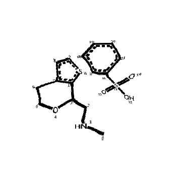 CNCC1OCCc2ccsc21.O=S(=O)(O)c1ccccc1